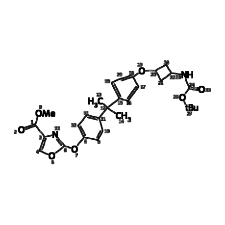 COC(=O)c1coc(Oc2ccc(C(C)(C)c3ccc(OC4CC(NC(=O)OC(C)(C)C)C4)cc3)cc2)n1